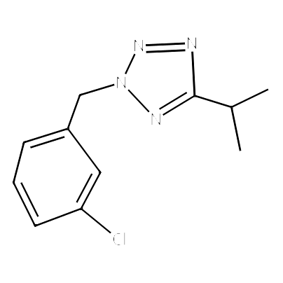 CC(C)c1nnn(Cc2cccc(Cl)c2)n1